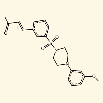 COc1cccc(N2CCN(S(=O)(=O)c3cccc(/C=C/C(C)=O)c3)CC2)c1